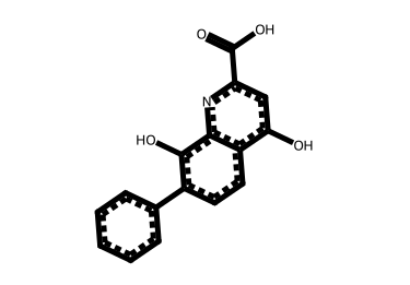 O=C(O)c1cc(O)c2ccc(-c3ccccc3)c(O)c2n1